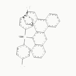 O=P(c1ccc(C(F)(F)F)cc1)(c1ccc(C(F)(F)F)cc1)c1c2ccccc2cc2c3ccccc3c3ccccc3c12